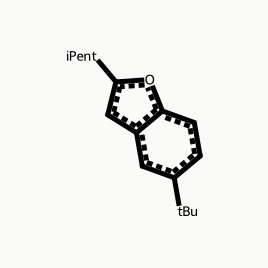 CCCC(C)c1cc2cc(C(C)(C)C)ccc2o1